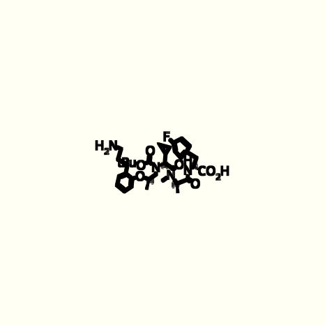 C[C@H](CN(C(=O)OC(C)(C)C)[C@H](C(=O)N(C)[C@H](C)C(=O)N[C@H](Cc1ccc(F)cc1)C(=O)O)C1CC1)Oc1ccccc1CCCN